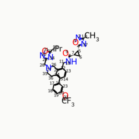 Cc1noc([C@@H]2C[C@H]2C(=O)NCc2ccc(-c3cccc(OC(F)(F)F)c3)c3c2CN(Cc2noc(C(C)C)n2)CC3)n1